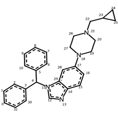 c1ccc(C(c2ccccc2)n2cnc3ccc(N4CCN(CC5CC5)CC4)cc32)cc1